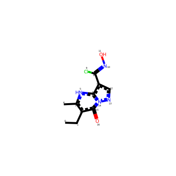 CCc1c(C)[nH]c2c(C(Cl)=NO)cnn2c1=O